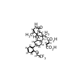 Cc1c[nH]c(=O)n(CC(C)(C)CN2CCN(c3ccccc3OCC(F)(F)F)CC2)c1=O.O=C(O)C=CC(=O)O